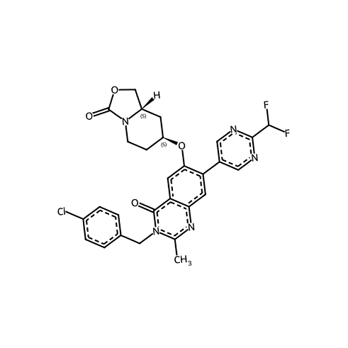 Cc1nc2cc(-c3cnc(C(F)F)nc3)c(O[C@H]3CCN4C(=O)OC[C@@H]4C3)cc2c(=O)n1Cc1ccc(Cl)cc1